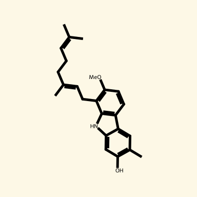 COc1ccc2c([nH]c3cc(O)c(C)cc32)c1C/C=C(\C)CCC=C(C)C